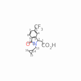 O=C(O)CC1c2cc(C(F)(F)F)ccc2C(=O)N1CC1CC1